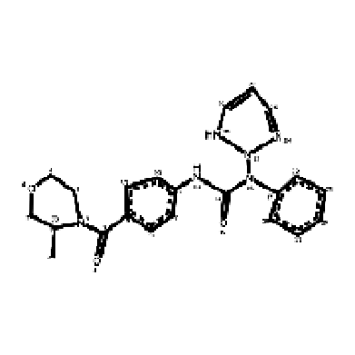 C[C@H]1COCCN1C(=O)c1ccc(NC(=O)N(c2ccccc2)N2N=CC=CN2)cc1